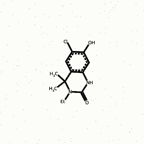 CCN1C(=O)Nc2cc(O)c(Cl)cc2C1(C)C